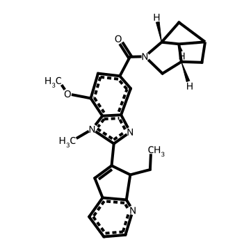 CCC1C(c2nc3cc(C(=O)N4C[C@H]5CC6C[C@@H]4[C@H]65)cc(OC)c3n2C)=Cc2cccnc21